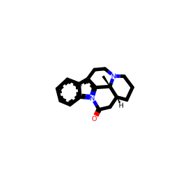 C[C@]12c3c4c5ccccc5n3C(=O)C[C@@H]1CCCN2CC4